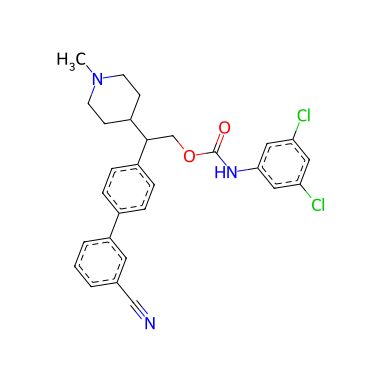 CN1CCC(C(COC(=O)Nc2cc(Cl)cc(Cl)c2)c2ccc(-c3cccc(C#N)c3)cc2)CC1